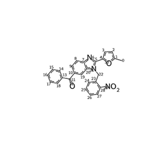 Cc1ccc(-c2nc3ccc(C(=O)c4ccccc4)cc3n2Cc2ccccc2[N+](=O)[O-])o1